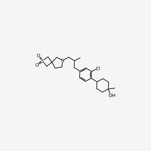 CC(Cc1ccc(C2CCC(C)(O)CC2)c(Cl)c1)CN1CCC2(C1)CS(=O)(=O)C2